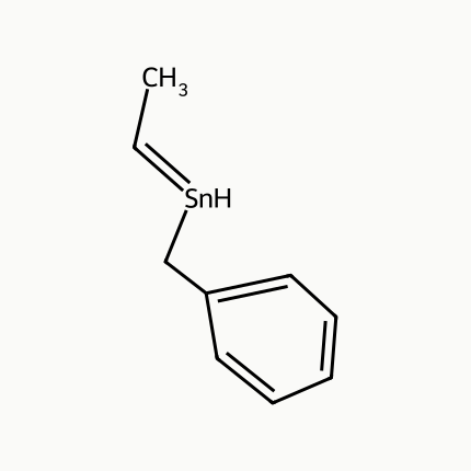 C[CH]=[SnH][CH2]c1ccccc1